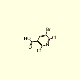 O=C(O)c1cc(Br)c(Cl)nc1Cl